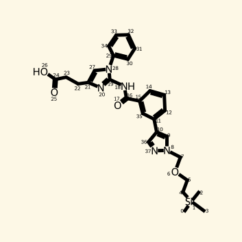 C[Si](C)(C)CCOCn1cc(-c2cccc(C(=O)Nc3nc(CCC(=O)O)cn3-c3ccccc3)c2)cn1